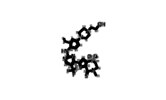 CCc1cc(N2CCN(CCO)CC2)ccc1Nc1ncc(C(F)(F)F)c(-c2cc3c(s2)C(=S)N(C)CCS3(=O)=O)n1